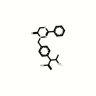 C=C(O)C(c1ccc(CN2N=C(c3ccccc3)OCC2=O)cc1)C(C)C(F)(F)F